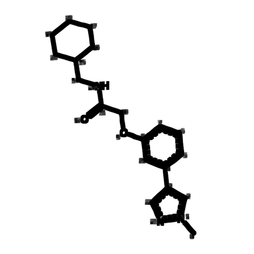 Cn1cc(-c2c[c]cc(OCC(=O)NCC3CCCCC3)c2)cn1